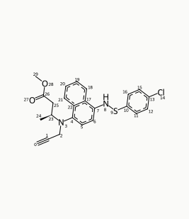 C#CCN(c1ccc(NSc2ccc(Cl)cc2)c2ccccc12)[C@@H](C)CC(=O)OC